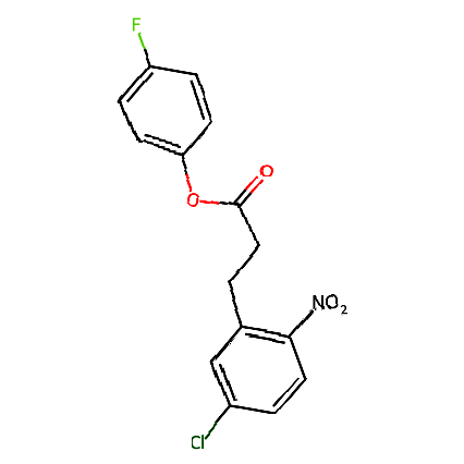 O=C(CCc1cc(Cl)ccc1[N+](=O)[O-])Oc1ccc(F)cc1